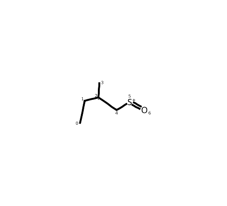 CC[C](C)C[S+]=O